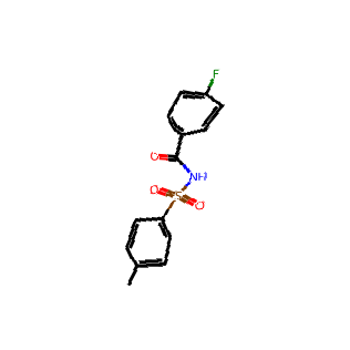 Cc1ccc(S(=O)(=O)NC(=O)c2ccc(F)cc2)cc1